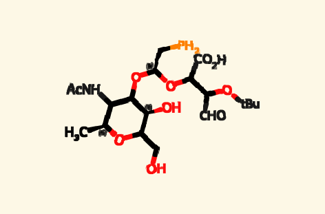 CC(=O)NC1C(O[C@@H](CP)OC(C(=O)O)C(C=O)OC(C)(C)C)[C@@H](O)C(CO)O[C@H]1C